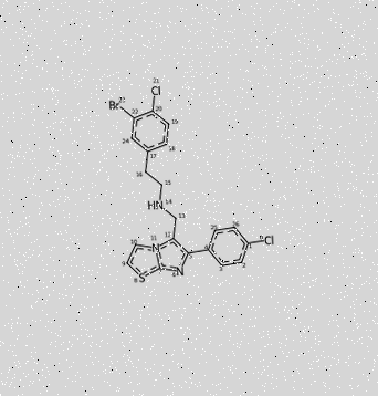 Clc1ccc(-c2nc3sccn3c2CNCCc2ccc(Cl)c(Br)c2)cc1